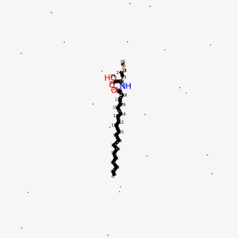 CCCCCCCCCCCCCCCCCCCC(=O)N[C@@H](CCSC)C(=O)O